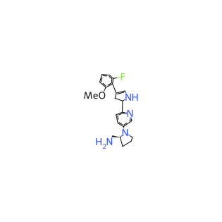 COc1cccc(F)c1C1=CNC(c2ccc(N3CCC[C@H]3CN)cn2)C1